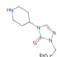 CCOC(=O)Cn1ncn(C2CCNCC2)c1=O